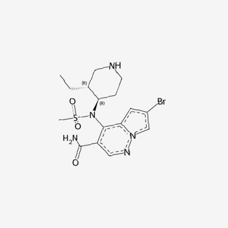 CC[C@@H]1CNCC[C@H]1N(c1c(C(N)=O)cnn2cc(Br)cc12)S(C)(=O)=O